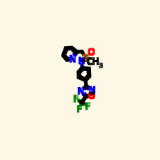 CS(=O)(Cc1ccccn1)=Nc1ccc(-c2noc(C(F)(F)F)n2)cc1